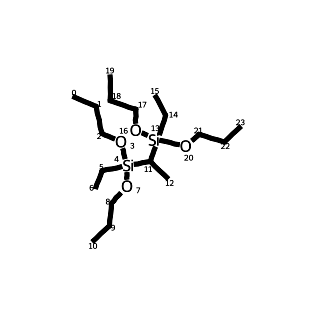 CCCO[Si](CC)(OCCC)C(C)[Si](CC)(OCCC)OCCC